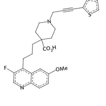 COc1ccc2ncc(F)c(CCCC3(C(=O)O)CCN(CC#Cc4cccs4)CC3)c2c1